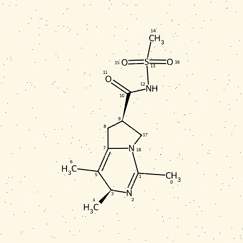 CC1=N[C@@H](C)C(C)=C2C[C@@H](C(=O)NS(C)(=O)=O)CN12